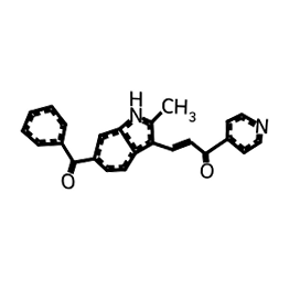 Cc1[nH]c2cc(C(=O)c3ccccc3)ccc2c1C=CC(=O)c1ccncc1